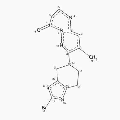 Cc1cc2nccc(=O)n2nc1N1CCc2nc(Br)sc2C1